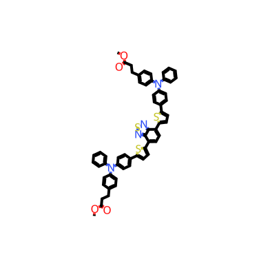 COC(=O)CCc1ccc(N(c2ccccc2)c2ccc(-c3ccc(-c4ccc(-c5ccc(-c6ccc(N(c7ccccc7)c7ccc(CCC(=O)OC)cc7)cc6)s5)c5nsnc45)s3)cc2)cc1